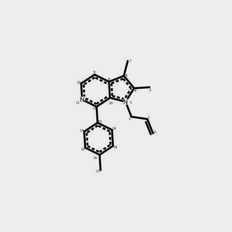 C=CCn1c(C)c(C)c2ccnc(-c3ccc(C)cc3)c21